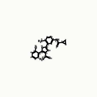 Cc1cnc(NC(=O)C2CC2)cc1-c1nc(C(N)=O)c(-c2ccccc2Cl)o1